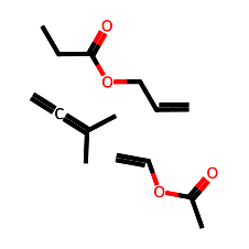 C=C=C(C)C.C=CCOC(=O)CC.C=COC(C)=O